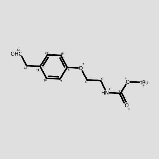 CC(C)(C)OC(=O)NCCOc1ccc(CC=O)cc1